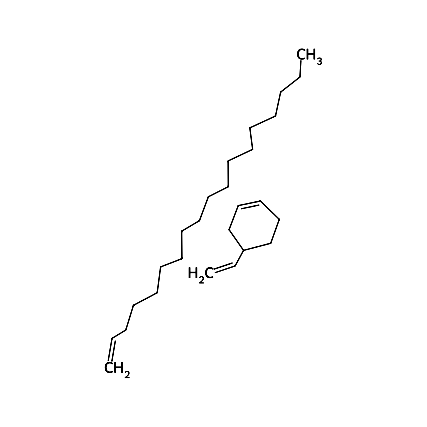 C=CC1CC=CCC1.C=CCCCCCCCCCCCCCCCC